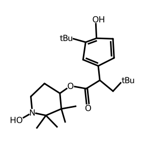 CC(C)(C)CC(C(=O)OC1CCN(O)C(C)(C)C1(C)C)c1ccc(O)c(C(C)(C)C)c1